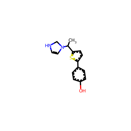 CC(c1ccc(-c2ccc(O)cc2)s1)N1C=CNC1